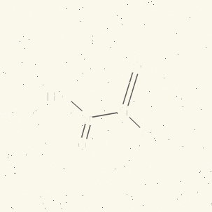 C[Si](=O)[Si](C)=O